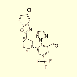 C[C@@H]1CC[C@@H](c2nc3cc(Cl)ccc3o2)CN1c1cc(C(F)(F)F)cc(C=O)c1-n1nccn1